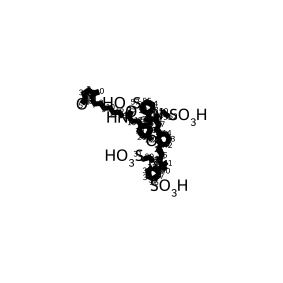 C=C1C=CC(=O)N1CCCCCCNC(=O)CCc1ccc(OC2=C(/C=C/C3=[N+](CCS(=O)(=O)O)c4ccc(S(=O)(=O)O)cc4C3(C)C)CCC/C2=C\C=C2\N(CCS(=O)(=O)O)c3ccc(S(=O)(=O)O)cc3C2(C)C)cc1